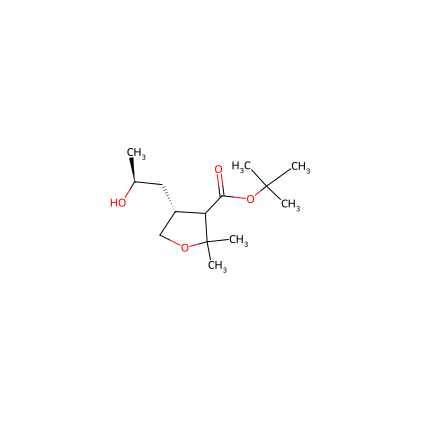 C[C@H](O)C[C@H]1COC(C)(C)C1C(=O)OC(C)(C)C